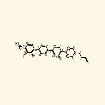 C=CCCC1COC(c2ccc(-c3ccc(-c4ccc(OCC)c(F)c4F)cc3)cc2F)OC1